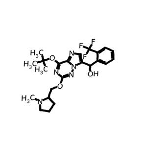 CN1CCCC1COc1nc(OC(C)(C)C)c2ncc(C(O)c3ccccc3C(F)(F)F)n2n1